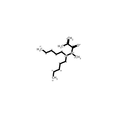 C=C(C)C(=O)N(C)N(CCCCC)CCCCC